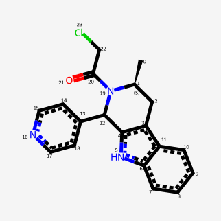 C[C@H]1Cc2c([nH]c3ccccc23)C(c2ccncc2)N1C(=O)CCl